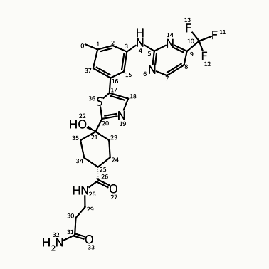 Cc1cc(Nc2nccc(C(F)(F)F)n2)cc(-c2cnc([C@]3(O)CC[C@H](C(=O)NCCC(N)=O)CC3)s2)c1